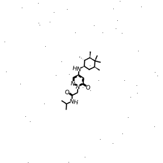 CC(C)NC(=O)Cn1ncc(N[C@@H]2C[C@H](C)C(C)(C)[C@H](C)[C@H]2C)cc1=O